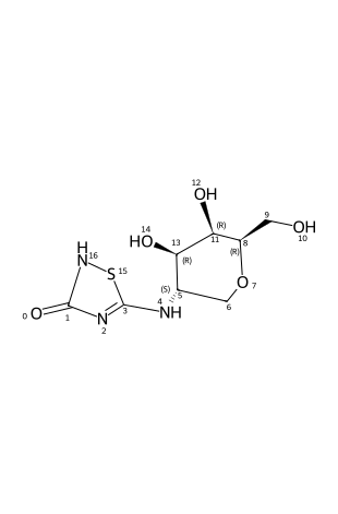 O=c1nc(N[C@H]2CO[C@H](CO)[C@H](O)[C@@H]2O)s[nH]1